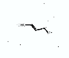 CC(C)C/C=C/[C]=O